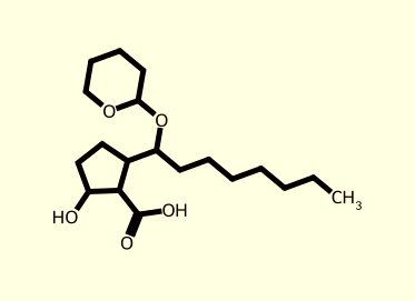 CCCCCCCC(OC1CCCCO1)C1CCC(O)C1C(=O)O